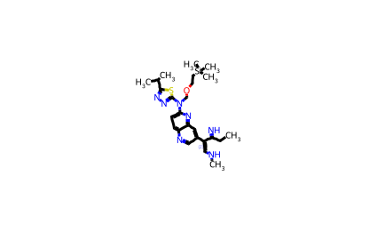 CCC(=N)/C(=C\NC)c1cnc2ccc(N(COCC[Si](C)(C)C)c3nnc(C(C)C)s3)nc2c1